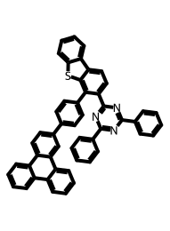 c1ccc(-c2nc(-c3ccccc3)nc(-c3ccc4c(sc5ccccc54)c3-c3ccc(-c4ccc5c6ccccc6c6ccccc6c5c4)cc3)n2)cc1